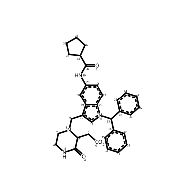 O=C(O)CC1C(=O)NCCN1Cc1cn(C(c2ccccc2)c2ccccc2)c2ccc(NC(=O)C3CCCC3)cc12